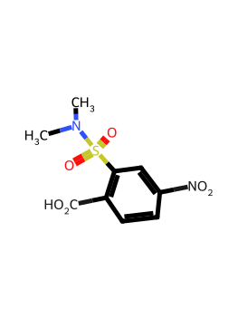 CN(C)S(=O)(=O)c1cc([N+](=O)[O-])ccc1C(=O)O